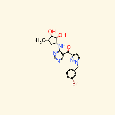 [CH2][C@@H]1C[C@@H](Nc2ncncc2C(=O)c2ccn(Cc3cccc(Br)c3)n2)[C@H](O)[C@@H]1O